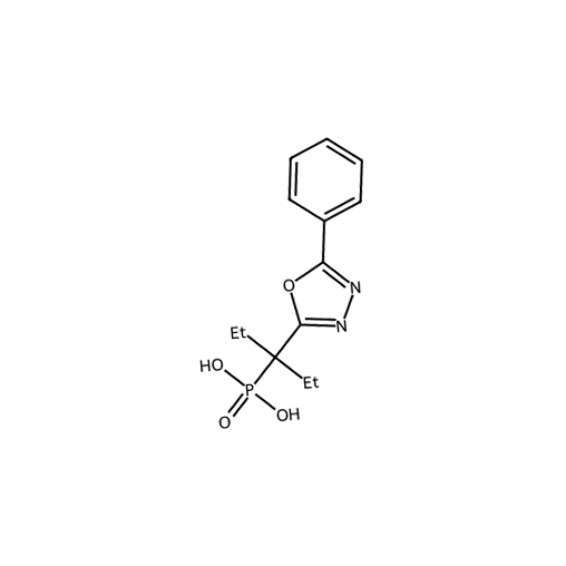 CCC(CC)(c1nnc(-c2ccccc2)o1)P(=O)(O)O